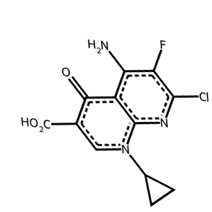 Nc1c(F)c(Cl)nc2c1c(=O)c(C(=O)O)cn2C1CC1